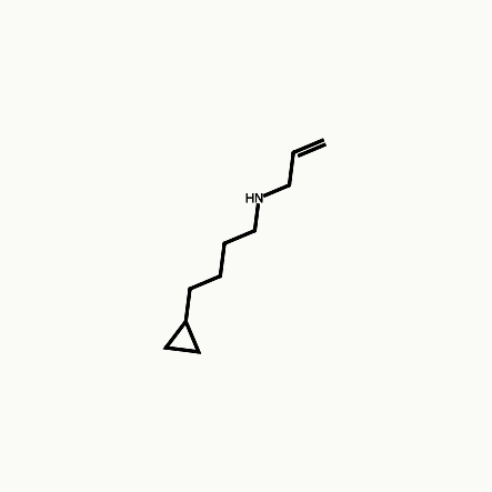 C=CCNCCCCC1CC1